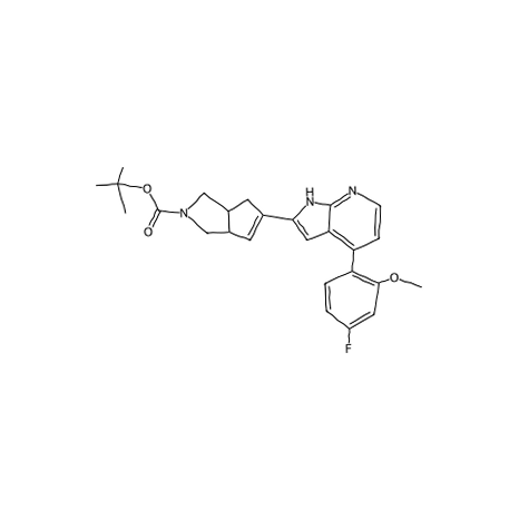 COc1cc(F)ccc1-c1ccnc2[nH]c(C3=CC4CN(C(=O)OC(C)(C)C)CC4C3)cc12